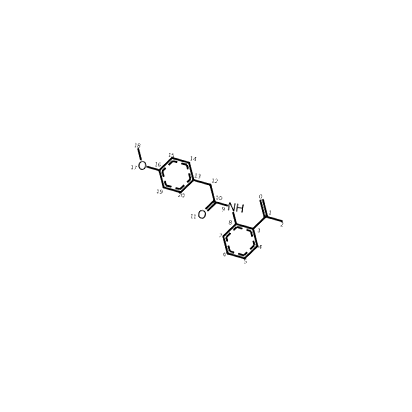 C=C(C)c1ccccc1NC(=O)Cc1ccc(OC)cc1